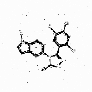 CCn1ccc2cc(N3C(c4cc(C(C)C)c(O)cc4O)=NNC3S)ccc21